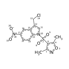 Cc1noc(C)c1S(=O)(=O)n1cc(CCl)c2cc([N+](=O)[O-])ccc21